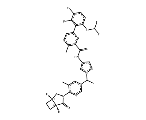 Cc1cc(C(C)n2cc(NC(=O)c3nc(-c4c(OC(F)F)ccc(Cl)c4F)cnc3C)cn2)cnc1N1C[C@H]2CC[C@H]2C1=O